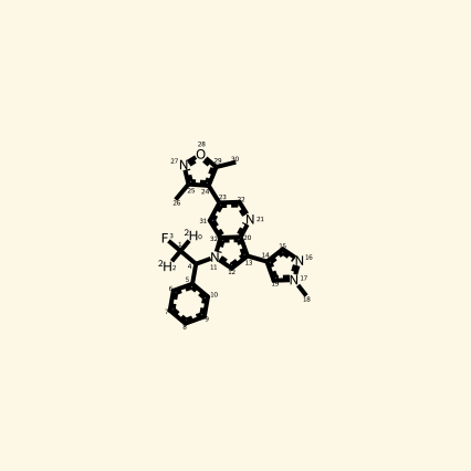 [2H]C([2H])(F)C(c1ccccc1)n1cc(-c2cnn(C)c2)c2ncc(-c3c(C)noc3C)cc21